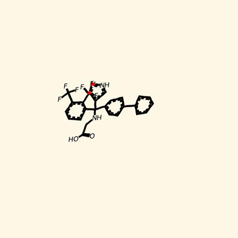 O=C(O)CNC(c1ccc(-c2ccccc2)cc1)(c1cn[nH]c1)c1cccc(C(F)(F)F)c1C(F)(F)F